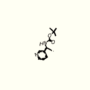 [CH2]C(NC(=O)OC(C)(C)C)c1cccnc1